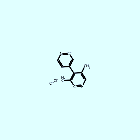 CC1=CN=[C+]C(C)=C1C1=C[C+]=NC=C1.[Cl-].[Cl-]